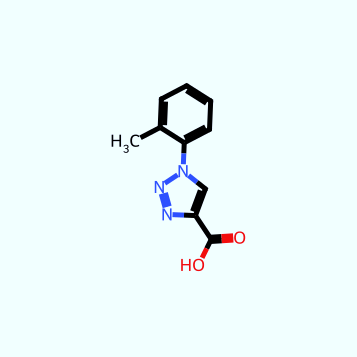 Cc1ccccc1-n1cc(C(=O)O)nn1